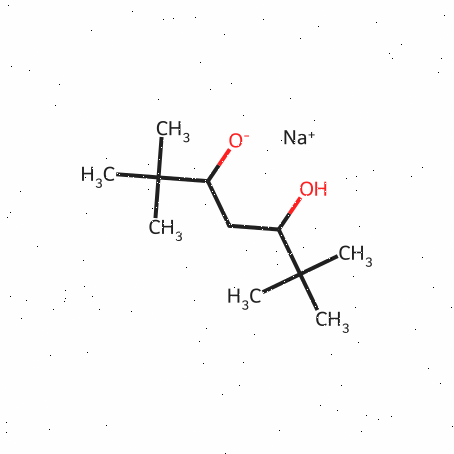 CC(C)(C)C([O-])CC(O)C(C)(C)C.[Na+]